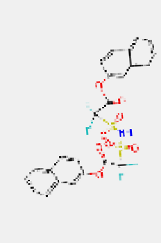 O=C(Oc1ccc2ccccc2c1)C(F)(F)S(=O)(=O)NS(=O)(=O)C(F)(F)C(=O)Oc1ccc2ccccc2c1